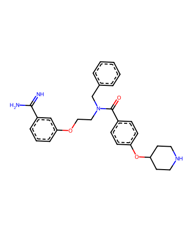 N=C(N)c1cccc(OCCN(Cc2ccccc2)C(=O)c2ccc(OC3CCNCC3)cc2)c1